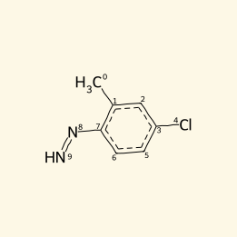 Cc1cc(Cl)ccc1N=N